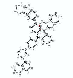 c1cc(-c2ccc(N(c3ccc(-c4ccc5oc6ccccc6c5c4)cc3)c3ccccc3-c3cccc4c3sc3ccccc34)cc2)cc(-c2cccc3ccccc23)c1